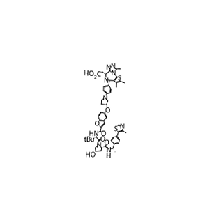 Cc1ncsc1-c1ccc([C@H](C)NC(=O)[C@@H]2C[C@@H](O)CN2C(=O)[C@@H](NC(=O)c2cc3cc(O[C@@H]4CCN(c5ccc(C6=N[C@@H](CC(=O)O)c7nnc(C)n7-c7sc(C)c(C)c76)cc5)C4)ccc3o2)C(C)(C)C)cc1